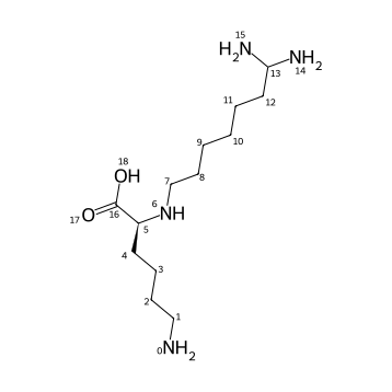 NCCCC[C@H](NCCCCCCC(N)N)C(=O)O